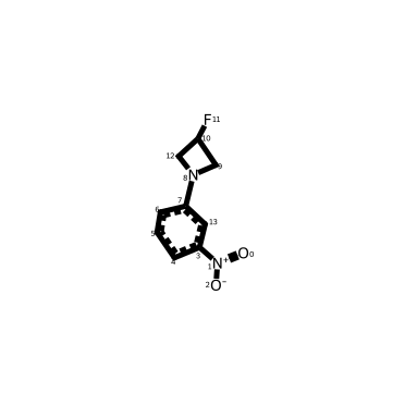 O=[N+]([O-])c1cccc(N2CC(F)C2)c1